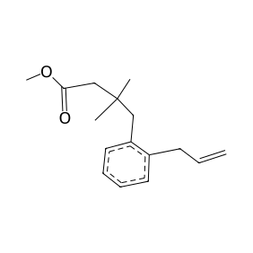 C=CCc1ccccc1CC(C)(C)CC(=O)OC